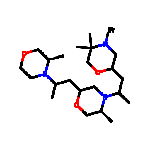 CC(CC1CN(C(C)C)C(C)(C)CO1)N1CC(CC(C)N2CCOC[C@@H]2C)OC[C@H]1C